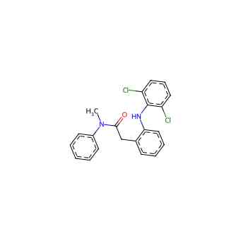 CN(C(=O)Cc1ccccc1Nc1c(Cl)cccc1Cl)c1ccccc1